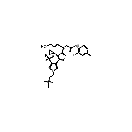 Cc1ccc(NC(=O)C[C@H](CCCO)c2noc(-c3cn(CCC(C)(C)C)nc3C(F)(F)F)c2C2CC2)c(F)c1